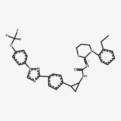 CCc1ccccc1N1CCCS/C1=N\C(=O)NC1CC1c1ccc(-c2ncn(-c3ccc(OC(F)(F)F)cc3)n2)cc1